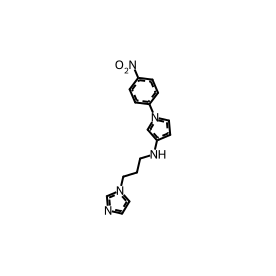 O=[N+]([O-])c1ccc(-n2ccc(NCCCn3ccnc3)c2)cc1